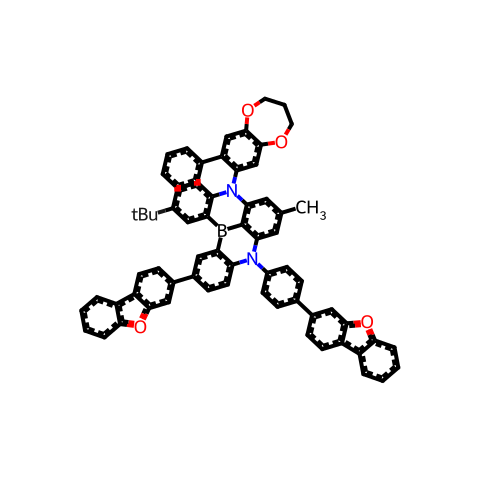 Cc1cc2c3c(c1)N(c1cc4c(cc1-c1ccccc1)OCCCO4)c1ccc(C(C)(C)C)cc1B3c1cc(-c3ccc4c(c3)oc3ccccc34)ccc1N2c1ccc(-c2ccc3c(c2)oc2ccccc23)cc1